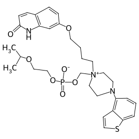 CC(C)OCCOP(=O)([O-])OC[N+]1(CCCCOc2ccc3ccc(=O)[nH]c3c2)CCN(c2cccc3sccc23)CC1